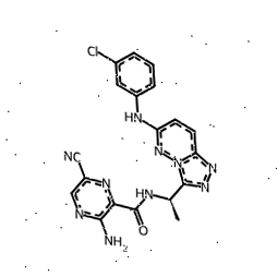 C[C@@H](NC(=O)c1nc(C#N)cnc1N)c1nnc2ccc(Nc3cccc(Cl)c3)nn12